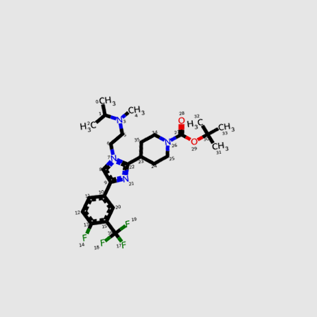 CC(C)N(C)CCn1cc(-c2ccc(F)c(C(F)(F)F)c2)nc1C1CCN(C(=O)OC(C)(C)C)CC1